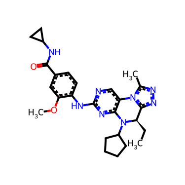 CC[C@@H]1c2nnc(C)n2-c2cnc(Nc3ccc(C(=O)NC4CC4)cc3OC)nc2N1C1CCCC1